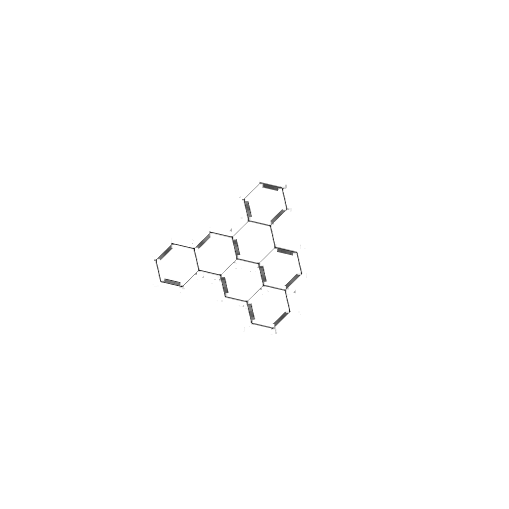 C1=CC2=Cc3c4ccccc4c4ccc5cccc6cc(c3c4c56)C2C=C1